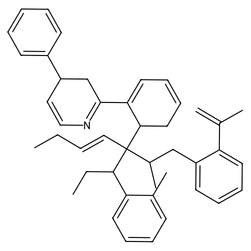 C=C(C)c1ccccc1CC(C)C(C=CCC)(C1CC=CC=C1C1=NC=CC(c2ccccc2)C1)C(CC)c1ccccc1C